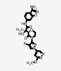 COc1cc(-n2cc(F)c(N3CCO[C@H]([C@@](C)(O)C(=O)Nc4ccc5c(N)noc5c4)C3=O)n2)cnn1